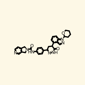 O=C1NN=C(c2ccc(NC(=O)N3Cc4ccncc4C3)cc2)CC1c1cccc2c1cnn2C1CCCCO1